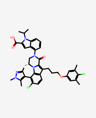 Cc1cc(OCCCc2c3n(c4c(-c5c(C)nn(C)c5C)c(Cl)ccc24)[C@H](C)CN(c2cccc4c2cc(C(=O)O)n4C(C)C)C3=O)cc(C)c1Cl